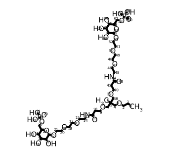 CCCOCC(C)(COCCC(=O)NCCOCCOCCOC1OC(COP(=O)(O)O)C(O)C(O)C1O)COCCC(=O)NCCOCCOCCOC1OC(COP(=O)(O)O)C(O)C(O)C1O